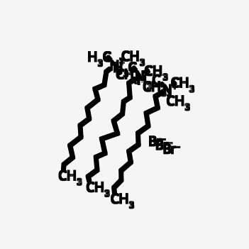 CCCCCCCCCCCC[N+](C)(C)C.CCCCCCCCCCCC[N+](C)(C)C.CCCCCCCCCCCC[N+](C)(C)C.[Br-].[Br-].[Br-]